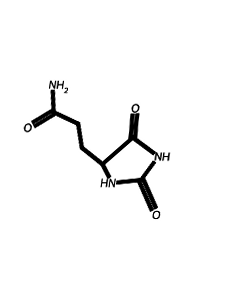 NC(=O)CCC1NC(=O)NC1=O